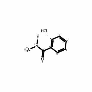 CN(F)C(=O)c1ccccc1.Cl